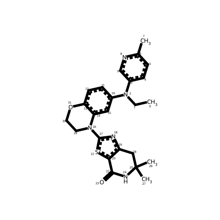 CCN(c1ccc(C)nc1)c1ccc2c(c1)N(c1nc3c(s1)C(=O)NC(C)(C)C3)CCO2